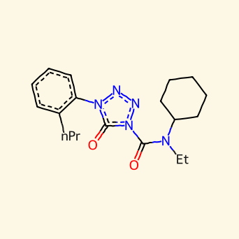 CCCc1ccccc1-n1nnn(C(=O)N(CC)C2CCCCC2)c1=O